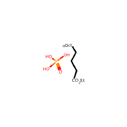 CCCCCCCCCCCC(=O)OCC.O=P(O)(O)O